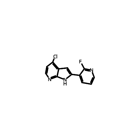 Fc1ncccc1-c1cc2c(Cl)ccnc2[nH]1